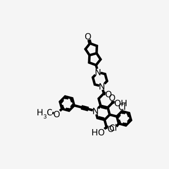 COc1cccc(C#CN2C=C(C(=O)O)C(c3c(Cl)cccc3Cl)C(C(=O)O)=C2CC(=O)N2CCN(C3CC4CC(=O)CC4C3)CC2)c1